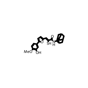 COc1ccc(-c2ccc(/C=C(\S)C(=O)NC3C4CC5CC(C4)CC3C5)o2)cc1O